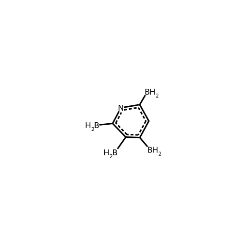 Bc1cc(B)c(B)c(B)n1